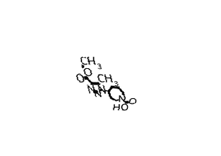 CCOC(=O)c1nnn([C@H]2CCCN(C(=O)O)CC2)c1C